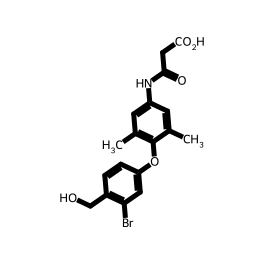 Cc1cc(NC(=O)CC(=O)O)cc(C)c1Oc1ccc(CO)c(Br)c1